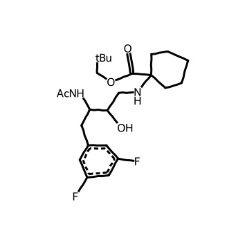 CC(=O)NC(Cc1cc(F)cc(F)c1)C(O)CNC1(C(=O)OCC(C)(C)C)CCCCC1